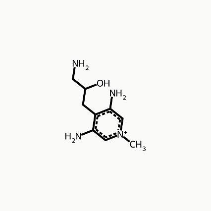 C[n+]1cc(N)c(CC(O)CN)c(N)c1